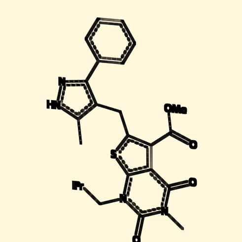 COC(=O)c1c(Cc2c(-c3ccccc3)n[nH]c2C)sc2c1c(=O)n(C)c(=O)n2CC(C)C